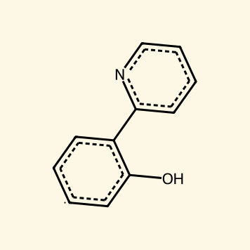 Oc1c[c]ccc1-c1ccccn1